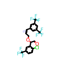 O=CC(OC/C=C\c1cc(C(F)(F)F)cc(C(F)(F)F)c1)c1cc(C(F)(F)F)ccc1Cl